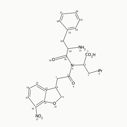 CC(C)CC(C(=O)O)N(C(=O)CC1COc2c1cccc2[N+](=O)[O-])C(=O)C(N)Cc1ccccc1